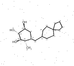 C[C@@H]1[C@@H](O)[C@H](O)[C@@H](O)CN1CC1CCC2(CCCC2)CC1